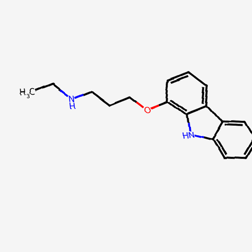 CCNCCCOc1cccc2c1[nH]c1ccccc12